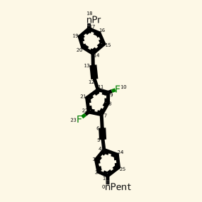 CCCCCc1ccc(C#Cc2cc(F)c(C#Cc3ccc(CCC)cc3)cc2F)cc1